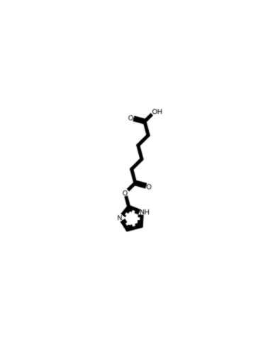 O=C(O)CCCCC(=O)Oc1ncc[nH]1